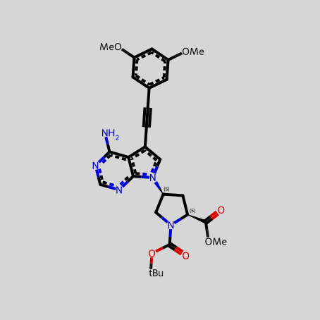 COC(=O)[C@@H]1C[C@H](n2cc(C#Cc3cc(OC)cc(OC)c3)c3c(N)ncnc32)CN1C(=O)OC(C)(C)C